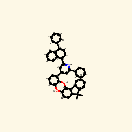 CC1(C)c2ccccc2-c2c1ccc1c2Oc2c(cccc2-c2cc(-c3ccccc3)nc(-c3ccc(-c4ccccc4)c4ccccc34)c2)O1